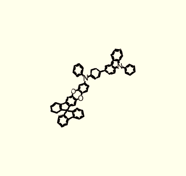 C1=CC2=C(CC1)C1(c3cc4c(cc32)Oc2cc(N(C3=CC=C(c5ccc6c(c5)c5ccccc5n6-c5ccccc5)CC3)c3ccccc3)ccc2O4)c2ccccc2-c2ccccc21